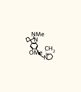 C=C[C@@H]1CCCCN1CC#Cc1cc2c(cc1OC)C1(CCC1)C(NC)=N2